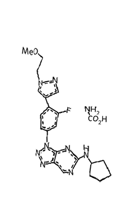 COCCn1cc(-c2ccc(-n3nnc4cnc(NC5CCCC5)nc43)cc2F)cn1.NC(=O)O